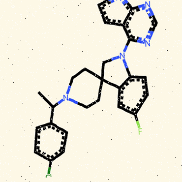 CC(c1ccc(Cl)cc1)N1CCC2(CC1)CN(c1ncnc3[nH]ccc13)c1ccc(F)cc12